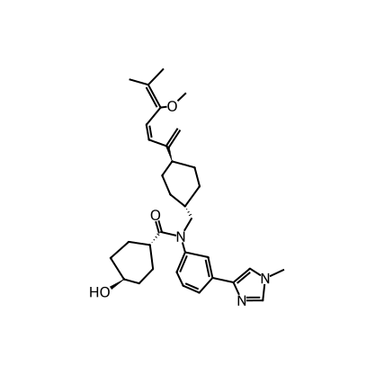 C=C(/C=C\C(OC)=C(C)C)[C@H]1CC[C@H](CN(c2cccc(-c3cn(C)cn3)c2)C(=O)[C@H]2CC[C@H](O)CC2)CC1